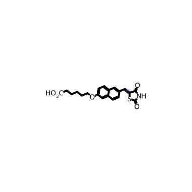 O=C(O)CCCCCOc1ccc2cc(/C=C3\SC(=O)NC3=O)ccc2c1